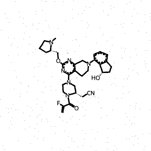 C=C(F)C(=O)N1CCN(c2nc(OC[C@@H]3CCCN3C)nc3c2CCN(c2cccc4c2[C@@H](O)CC4)C3)C[C@@H]1CC#N